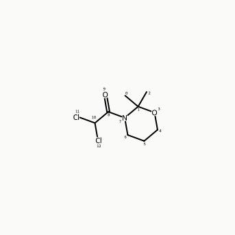 CC1(C)OCCCN1C(=O)C(Cl)Cl